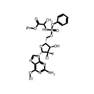 CCOc1nc(N)nc2c1ncn2[C@@H]1O[C@H](COP(=O)(NC(C)C(=O)OC(C)C)Oc2ccccc2)[C@@H](O)[C@]1(F)Cl